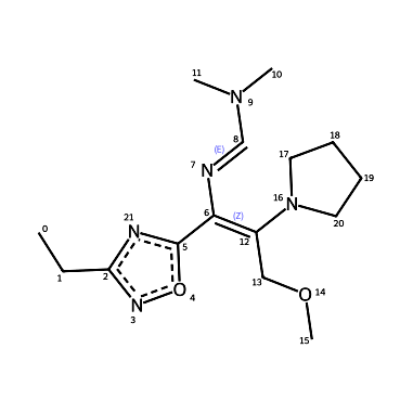 CCc1noc(C(/N=C/N(C)C)=C(\COC)N2CCCC2)n1